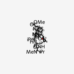 CNC(C(=O)N[C@H]1Cc2ccc3c(c2)C2(c4ccccc4N[C@H]2O3)c2oc(nc2-c2nc(C(=O)OC)co2)[C@H](C(C)C)NC1=O)C(C)C